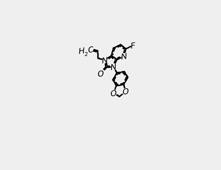 C=CCn1c(=O)n(-c2ccc3c(c2)OCO3)c2nc(F)ccc21